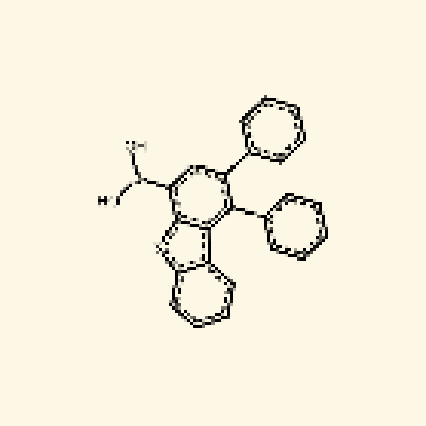 OB(O)c1cc(-c2ccccc2)c(-c2ccccc2)c2c1sc1ccccc12